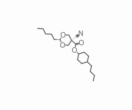 CCCCC[C@H]1OC[C@@](C#N)(C(=O)OC2CCC(CCCC)CC2)CO1